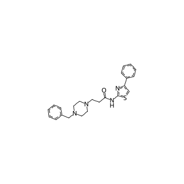 O=C(CCN1CCN(Cc2ccccc2)CC1)Nc1nc(-c2ccccc2)cs1